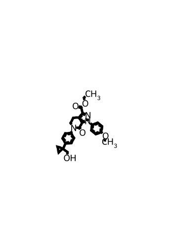 CCOC(=O)c1nn(-c2ccc(OC)cc2)c2c1CCN(c1ccc(C3(CO)CC3)cc1)C2=O